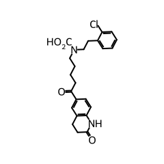 O=C1CCc2cc(C(=O)CCCCN(CCc3ccccc3Cl)C(=O)O)ccc2N1